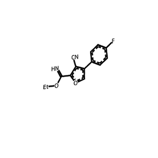 CCOC(=N)c1occ(-c2ccc(F)cc2)c1C#N